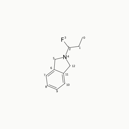 CC[C](F)N1Cc2ccccc2C1